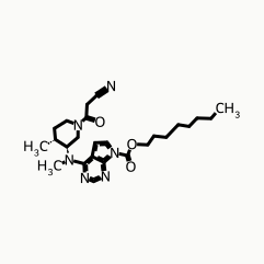 CCCCCCCCOC(=O)n1ccc2c(N(C)[C@H]3CN(C(=O)CC#N)CC[C@H]3C)ncnc21